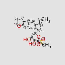 CCc1ccc([C@H]2C[C@@H](O)[C@H](O)[C@@H](S(C)(=O)=O)O2)cc1Cc1ccc2c(c1)CCCO2